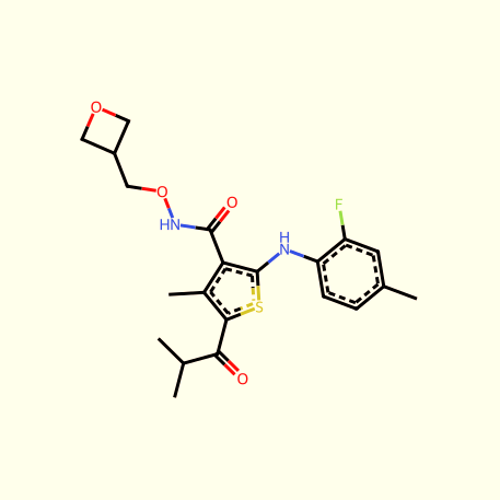 Cc1ccc(Nc2sc(C(=O)C(C)C)c(C)c2C(=O)NOCC2COC2)c(F)c1